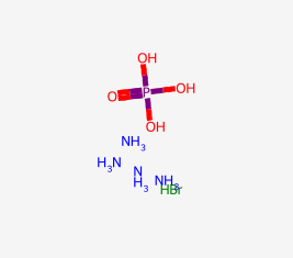 Br.N.N.N.N.O=P(O)(O)O